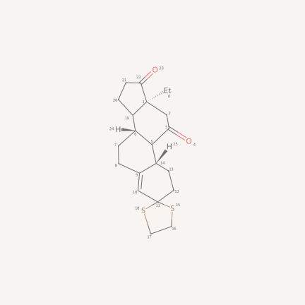 CC[C@]12CC(=O)C3[C@H](CCC4=CC5(CC[C@H]43)SCCS5)C1CCC2=O